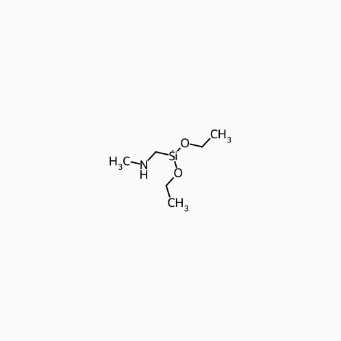 CCO[Si](CNC)OCC